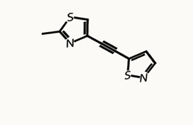 Cc1nc(C#Cc2ccns2)cs1